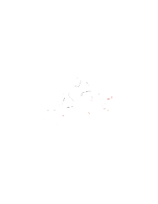 OCC1OC(c2ccc(Cl)c(Cc3ccc(OC4CCCCC4)cc3)c2)CC(O)C1O